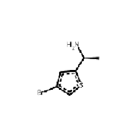 C[C@H](N)c1cc(Br)cs1